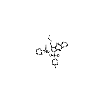 CCCCn1c(NC(=O)c2ccccc2)c(S(=O)(=O)c2ccc(C)cc2)c2nc3ccccc3nc21